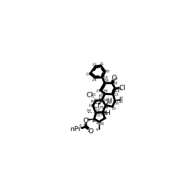 CCCC(=O)O[C@@H]1[C@H](C)C[C@H]2[C@@H]3C[C@H](F)C4=C(Cl)C(=O)C(c5ccccc5)=C[C@]4(C)[C@@]3(Cl)[C@@H](Cl)C[C@]12C